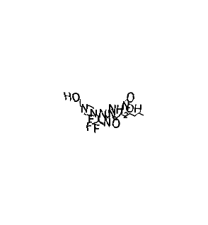 CCCCC[C@H](CN(O)C=O)C(=O)N(N)c1ncc(C(F)(F)F)c(N2CCN(CCO)CC2)n1